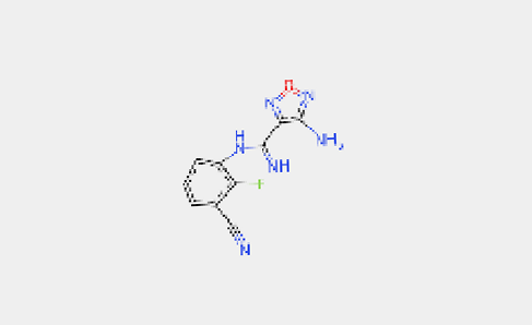 N#Cc1cccc(NC(=N)c2nonc2N)c1F